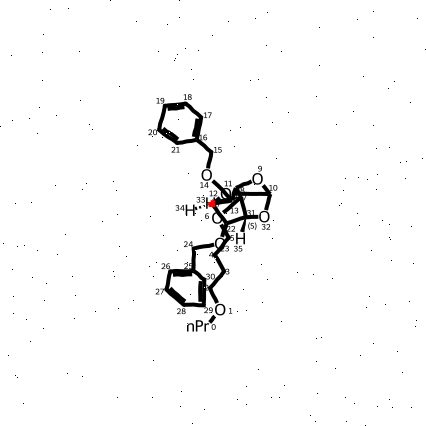 CCCOCCCCO[C@@H]1C2OC3O[C@@H](C2OCc2ccccc2)C(OCc2ccccc2)[C@H]1O3